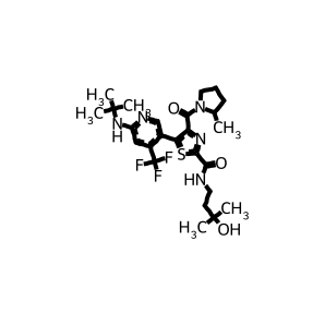 CC1CCCN1C(=O)c1nc(C(=O)NCCC(C)(C)O)sc1-c1cnc(NC(C)(C)C)cc1C(F)(F)F